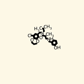 CC(C)CN(Cc1cc(Cl)c2c(c1)OCCCO2)C(=O)C(C)CNCc1cccc(O)c1